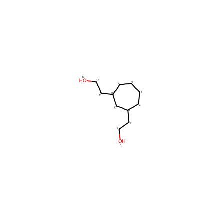 OCCC1CCCCC(CCO)C1